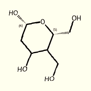 OCC1C(O)C[C@H](O)O[C@@H]1CO